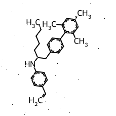 C=Cc1ccc(NC(CCCCC)Cc2ccc(-c3c(C)cc(C)cc3C)cc2)cc1